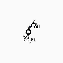 CCOC(=O)C(C)Oc1ccc(/C=C/C[C@@H](C)[C@H](C)O)cc1